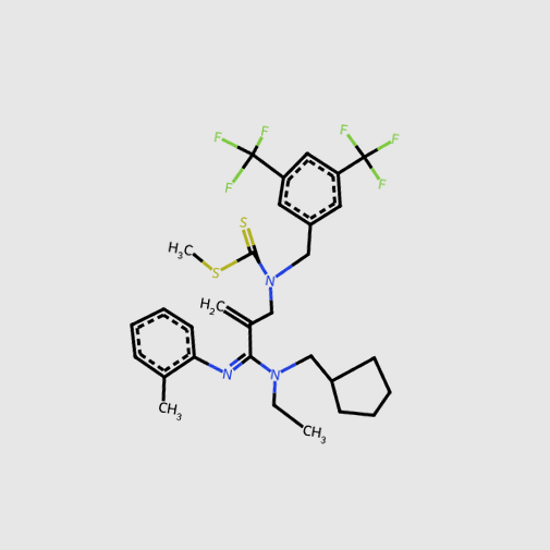 C=C(CN(Cc1cc(C(F)(F)F)cc(C(F)(F)F)c1)C(=S)SC)/C(=N\c1ccccc1C)N(CC)CC1CCCC1